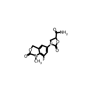 CN1C(=O)OCc2cc(N3CC(C(N)=O)OC3=O)cc(F)c21